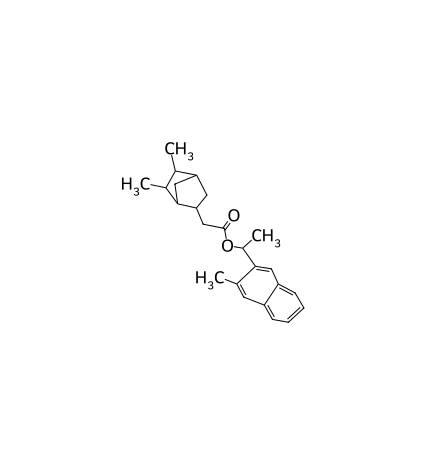 Cc1cc2ccccc2cc1C(C)OC(=O)CC1CC2CC1C(C)C2C